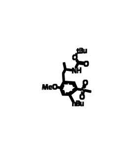 CCCCc1cc(OC)c(CC(C)NC(=O)OC(C)(C)C)cc1S(C)(=O)=O